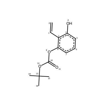 C=Cc1c(O)cccc1OC(=O)OC(C)(C)C